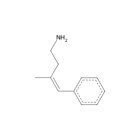 CC(=Cc1ccccc1)CCN